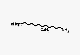 CCCCCCCCCCCCCCCCCCN.[CaH2]